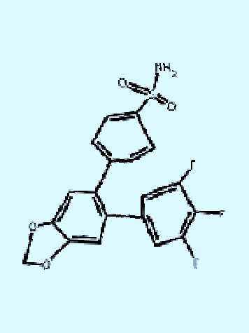 NS(=O)(=O)c1ccc(-c2cc3c(cc2-c2cc(F)c(F)c(F)c2)OCO3)cc1